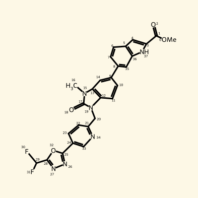 COC(=O)c1cc2ccc(-c3ccc4c(c3)n(C)c(=O)n4Cc3ccc(-c4nnc(C(F)F)o4)cn3)cc2[nH]1